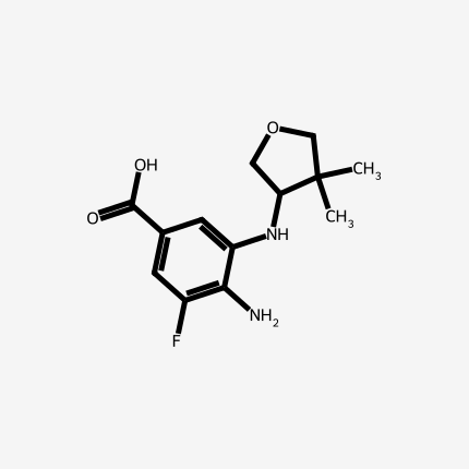 CC1(C)COCC1Nc1cc(C(=O)O)cc(F)c1N